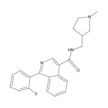 CN1CCC(CNC(=O)c2cnc(-c3ccccc3F)c3ccccc23)C1